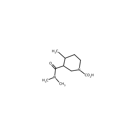 CC1CCN(C(=O)O)CC1C(=O)N(C)C